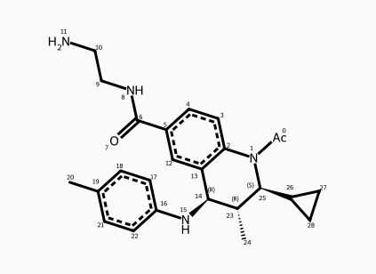 CC(=O)N1c2ccc(C(=O)NCCN)cc2[C@H](Nc2ccc(C)cc2)[C@@H](C)[C@@H]1C1CC1